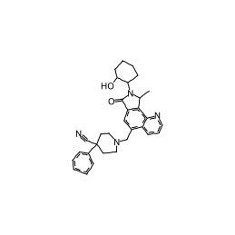 CC1c2c(cc(CN3CCC(C#N)(c4ccccc4)CC3)c3cccnc23)C(=O)N1C1CCCCC1O